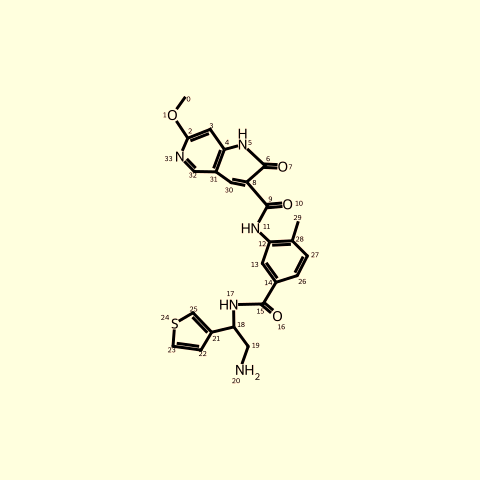 COc1cc2[nH]c(=O)c(C(=O)Nc3cc(C(=O)NC(CN)c4ccsc4)ccc3C)cc2cn1